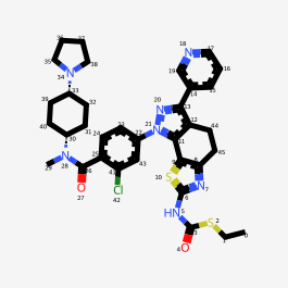 CCSC(=O)Nc1nc2c(s1)-c1c(c(-c3cccnc3)nn1-c1ccc(C(=O)N(C)[C@H]3CC[C@@H](N4CCCC4)CC3)c(Cl)c1)CC2